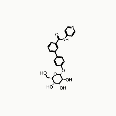 O=C(Nc1ccncc1)c1cccc(-c2ccc(O[C@H]3O[C@H](CO)[C@@H](O)[C@@H](O)[C@H]3O)cc2)c1